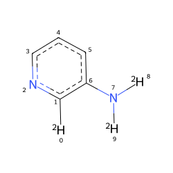 [2H]c1ncccc1N([2H])[2H]